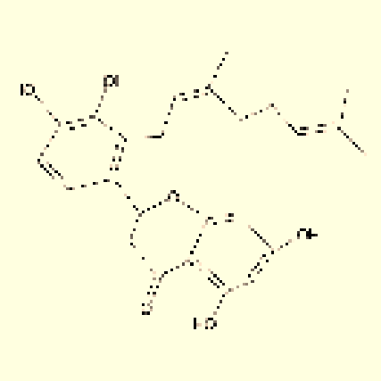 CC(C)=CCCC(C)=CCc1c(C2CC(=O)c3c(O)cc(O)cc3O2)ccc(O)c1O